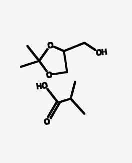 CC(C)C(=O)O.CC1(C)OCC(CO)O1